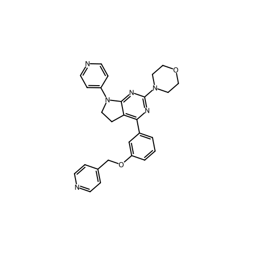 c1cc(OCc2ccncc2)cc(-c2nc(N3CCOCC3)nc3c2CCN3c2ccncc2)c1